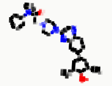 Cc1cc(-c2ccc3ncc(N4CCN(CC(=O)N(C)c5ccccc5)CC4)nc3c2)cc(C)c1O